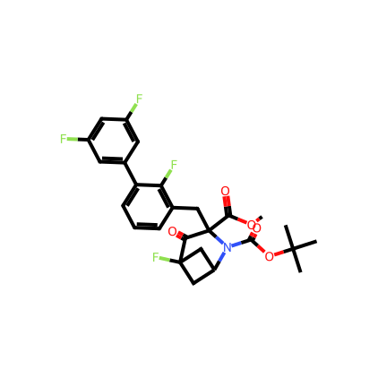 COC(=O)C1(Cc2cccc(-c3cc(F)cc(F)c3)c2F)C(=O)C2(F)CC(C2)N1C(=O)OC(C)(C)C